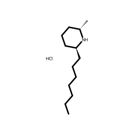 CCCCCCC[C@H]1CCC[C@H](C)N1.Cl